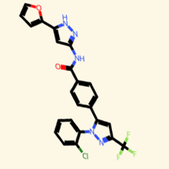 O=C(Nc1cc(-c2ccco2)[nH]n1)c1ccc(-c2cc(C(F)(F)F)nn2-c2ccccc2Cl)cc1